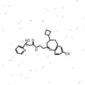 C[C@](O)(CC(=O)NCC/C1=N/c2ccc(C#N)cc2CCC(C2CCC2)C1)c1ccccn1